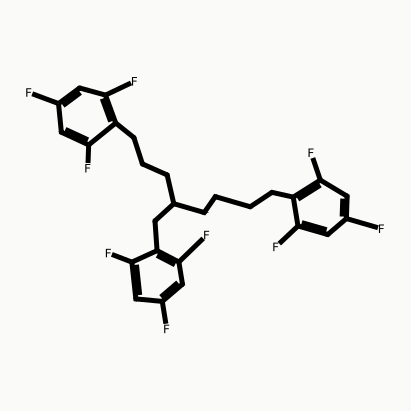 Fc1cc(F)c(CCC[CH]C(CCCc2c(F)cc(F)cc2F)Cc2c(F)cc(F)cc2F)c(F)c1